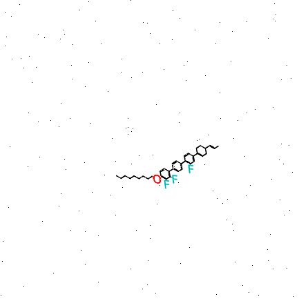 C/C=C/C1CC=C(c2ccc(-c3ccc(-c4ccc(OCCCCCCCCC)c(F)c4F)cc3)c(F)c2)CC1